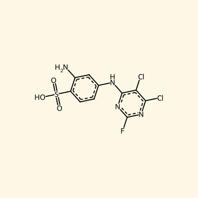 Nc1cc(Nc2nc(F)nc(Cl)c2Cl)ccc1S(=O)(=O)O